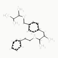 CC(C)C(C)OCc1ccc(CC(C)C(C)OCCc2ccccc2)cc1